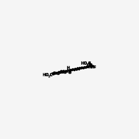 CC(=O)[C@H](CCC(=O)O)NC(=O)CCCCCCCCCCCCCCCCC(=O)NCCOCCOCCOCCOCCC(=O)O